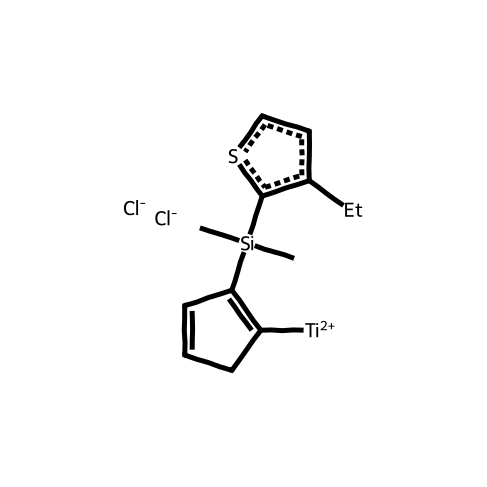 CCc1ccsc1[Si](C)(C)C1=[C]([Ti+2])CC=C1.[Cl-].[Cl-]